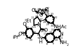 CCOc1cc(C(Nc2ccc3c(N)nccc3c2)C(=O)N2CC[C@H](C(=O)OC)[C@H]2c2cc(NC(C)=O)ccc2S(=O)(=O)C(C)C)ccc1OC(C)C